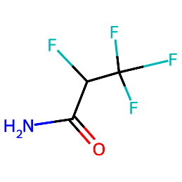 NC(=O)C(F)C(F)(F)F